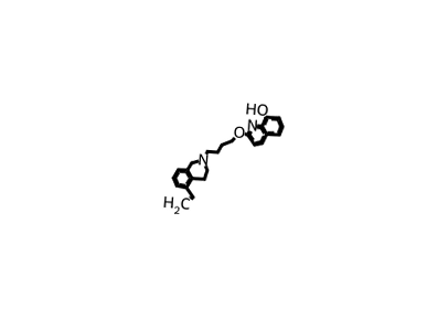 C=Cc1cccc2c1CCN(CCCCOc1ccc3cccc(O)c3n1)C2